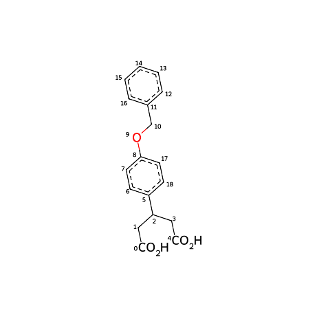 O=C(O)CC(CC(=O)O)c1ccc(OCc2ccccc2)cc1